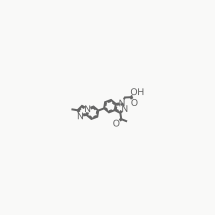 CC(=O)c1nn(CC(=O)O)c2ccc(-c3ccc4nc(C)cn4c3)cc12